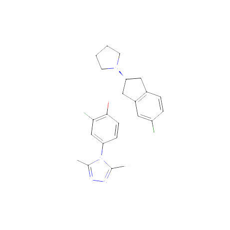 Cc1nnc(C)n1-c1ccc(O[C@H]2c3cc(Cl)ccc3C[C@@H]2N2CCCC2)c(F)c1